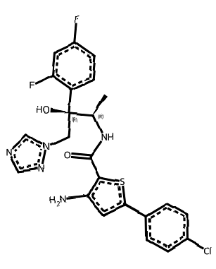 C[C@@H](NC(=O)c1sc(-c2ccc(Cl)cc2)cc1N)[C@](O)(Cn1cncn1)c1ccc(F)cc1F